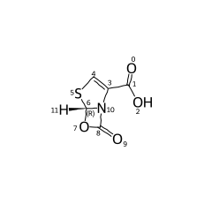 O=C(O)C1=CS[C@H]2OC(=O)N12